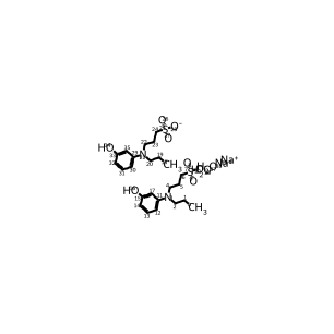 CCCN(CCCS(=O)(=O)[O-])c1cccc(O)c1.CCCN(CCCS(=O)(=O)[O-])c1cccc(O)c1.O.O.[Na+].[Na+]